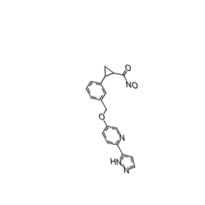 O=NC(=O)C1CC1c1cccc(COc2ccc(-c3ccn[nH]3)nc2)c1